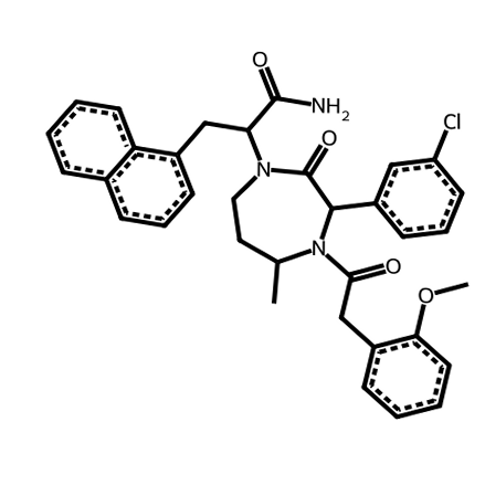 COc1ccccc1CC(=O)N1C(C)CCN(C(Cc2cccc3ccccc23)C(N)=O)C(=O)C1c1cccc(Cl)c1